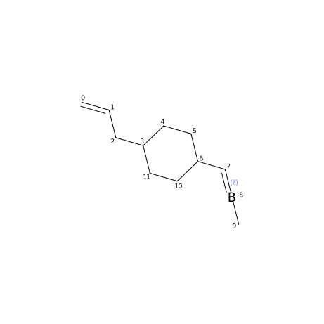 C=CCC1CCC(/C=B\C)CC1